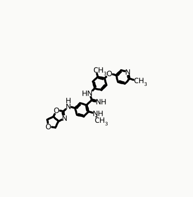 CNc1ccc(NC2=NC3COCC3O2)cc1C(=N)Nc1ccc(Oc2ccc(C)nc2)c(C)c1